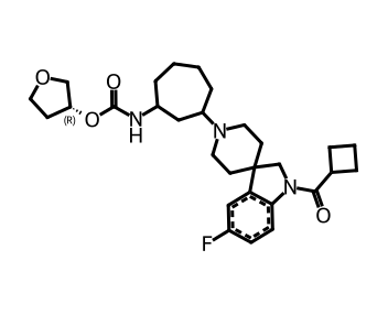 O=C(NC1CCCCC(N2CCC3(CC2)CN(C(=O)C2CCC2)c2ccc(F)cc23)C1)O[C@@H]1CCOC1